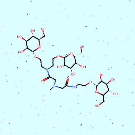 CN(CC(=O)NCCO[C@H]1O[C@H](CO)[C@@H](O)[C@H](O)[C@@H]1O)CC(=O)N(CCO[C@H]1O[C@H](CO)[C@@H](O)[C@H](O)[C@@H]1O)CCO[C@H]1O[C@H](CO)[C@@H](O)[C@H](O)[C@@H]1O